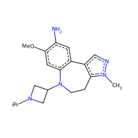 COc1cc2c(cc1N)-c1cnn(C)c1CCN2C1CN(C(C)C)C1